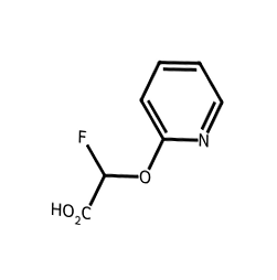 O=C(O)C(F)Oc1ccccn1